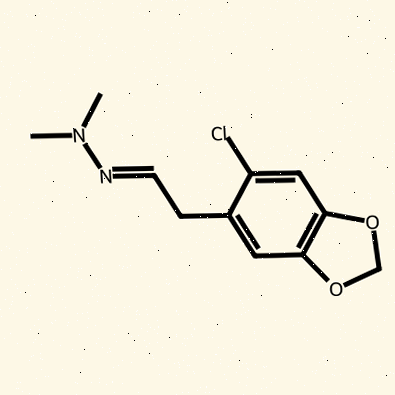 CN(C)N=CCc1cc2c(cc1Cl)OCO2